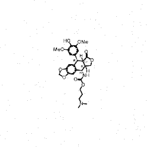 COc1cc([C@@H]2c3cc4c(cc3[C@@H](NC(=O)OCCCN(C)C)[C@H]3COC(=O)[C@@H]23)OCO4)cc(OC)c1O